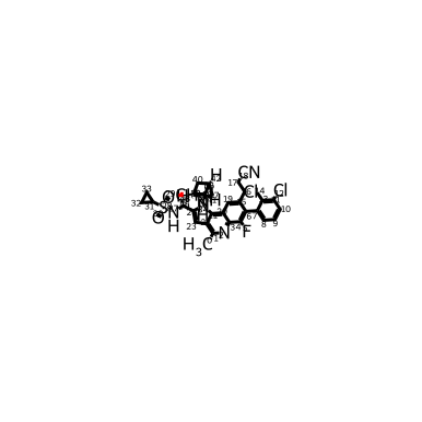 Cc1nc2c(F)c(-c3cccc(Cl)c3Cl)c(CCC#N)cc2c2c1cc([C@@H](C)NS(=O)(=O)C1CC1)n2[C@H]1[C@H]2CN[C@@H]1C2